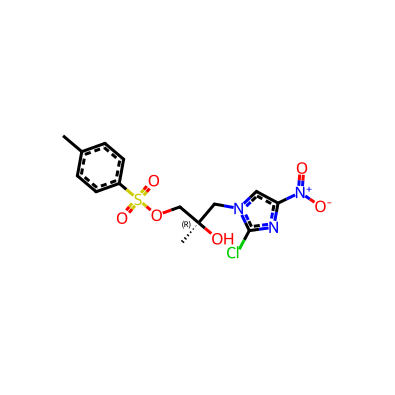 Cc1ccc(S(=O)(=O)OC[C@](C)(O)Cn2cc([N+](=O)[O-])nc2Cl)cc1